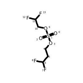 O=S(=O)(OCCC(F)F)OCC(F)F